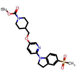 CC(C)(C)OC(=O)N1CCC(COc2ccc(N3CCc4cc(S(C)(=O)=O)ccc43)nc2)CC1